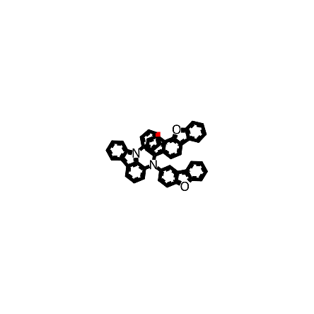 c1ccc(-n2c3ccccc3c3cccc(N(c4ccc5oc6ccccc6c5c4)c4cccc5c4ccc4c6ccccc6oc54)c32)cc1